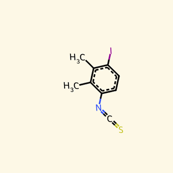 Cc1c(I)ccc(N=C=S)c1C